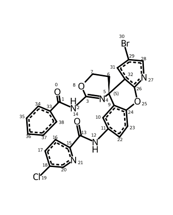 O=C(NC1=N[C@@]2(CCO1)c1cc(NC(=O)c3ccc(Cl)cn3)ccc1Oc1ncc(Br)cc12)c1ccccc1